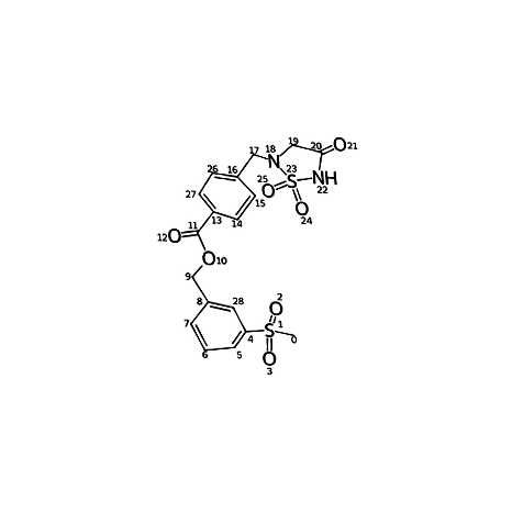 CS(=O)(=O)c1cccc(COC(=O)c2ccc(CN3CC(=O)NS3(=O)=O)cc2)c1